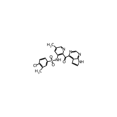 Cc1cnc(C(=O)c2ncnc3[nH]ccc23)c(NS(=O)(=O)c2ccc(Cl)c(C)c2)c1